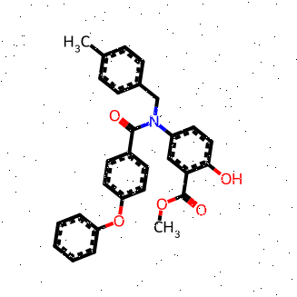 COC(=O)c1cc(N(Cc2ccc(C)cc2)C(=O)c2ccc(Oc3ccccc3)cc2)ccc1O